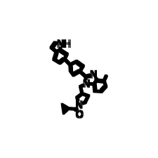 Cc1cccc2c1nc(-c1ccc(-c3ccc4cc[nH]c4c3)cc1)n2CC1CCN(C(=O)C2CC2)C1